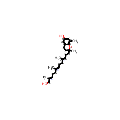 C/C(=C\CC/C(C)=C/CC/C(C)=C/CCC1(C)CCc2cc(O)cc(C)c2O1)CO